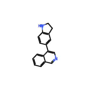 c1ccc2c(-c3ccc4c(c3)CCN4)cncc2c1